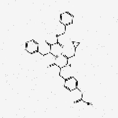 NC(=O)Oc1ccc(C[C@H](NC(=O)[CH]C2CC2)C(=O)N[C@@H](Cc2ccccc2)C(=O)C(=O)NCc2ccccc2)cc1